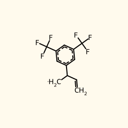 [CH2]C(C=C)c1cc(C(F)(F)F)cc(C(F)(F)F)c1